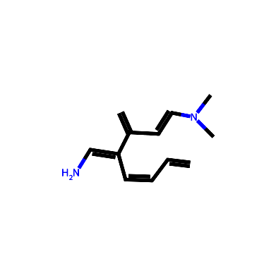 C=C/C=C\C(=C/N)C(=C)/C=C/N(C)C